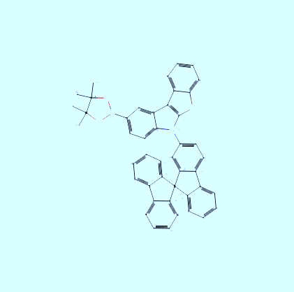 CC1(C)OB(c2ccc3c(c2)c2c4ccccc4sc2n3-c2ccc3c(c2)C2(c4ccccc4-c4ccccc42)c2ccccc2-3)OC1(C)C